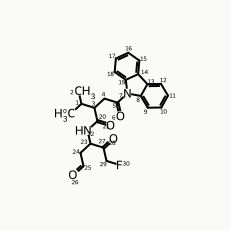 CC(C)C(CC(=O)n1c2ccccc2c2ccccc21)C(=O)NC(CC=O)C(=O)CF